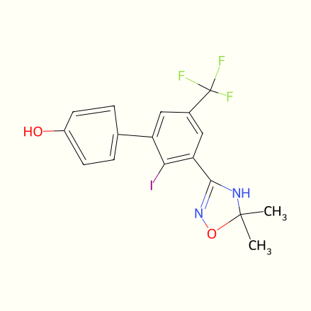 CC1(C)NC(c2cc(C(F)(F)F)cc(-c3ccc(O)cc3)c2I)=NO1